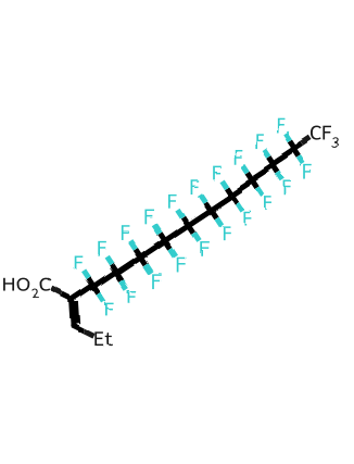 CCC=C(C(=O)O)C(F)(F)C(F)(F)C(F)(F)C(F)(F)C(F)(F)C(F)(F)C(F)(F)C(F)(F)C(F)(F)C(F)(F)C(F)(F)F